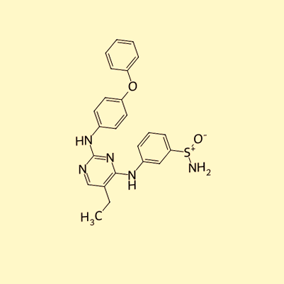 CCc1cnc(Nc2ccc(Oc3ccccc3)cc2)nc1Nc1cccc([S+](N)[O-])c1